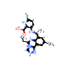 CCc1nc2c([C@@H](C)Nc3ccc(Cl)nc3C(=O)O)cc(C)cc2c2nncn12